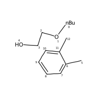 CCCCOCCO.Cc1ccccc1C